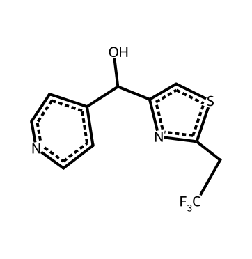 OC(c1ccncc1)c1csc(CC(F)(F)F)n1